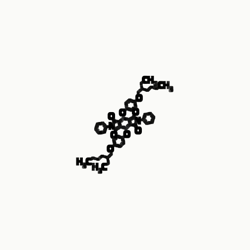 CCCCC(CC)COc1ccc(Oc2c3c(=O)n(-c4ccccc4)c(=O)c3c(Oc3ccc(OCC(CC)CCCC)cc3)c3c(=O)n(-c4ccccc4)c(=O)c23)cc1